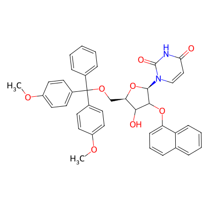 COc1ccc(C(OC[C@H]2O[C@@H](n3ccc(=O)[nH]c3=O)C(Oc3cccc4ccccc34)C2O)(c2ccccc2)c2ccc(OC)cc2)cc1